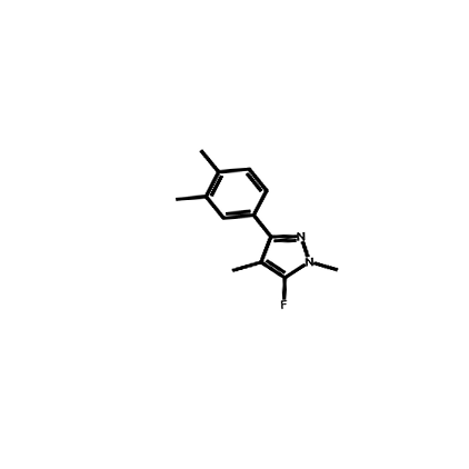 Cc1ccc(-c2nn(C)c(F)c2C)cc1C